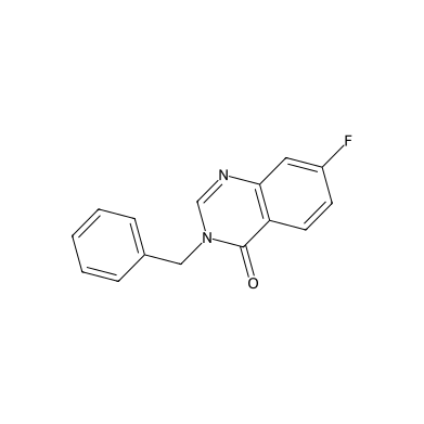 O=c1c2ccc(F)cc2ncn1Cc1ccccc1